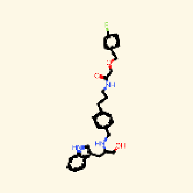 O=C(COCc1ccc(F)cc1)NCCCc1ccc(CNC(CO)Cc2c[nH]c3ccccc23)cc1